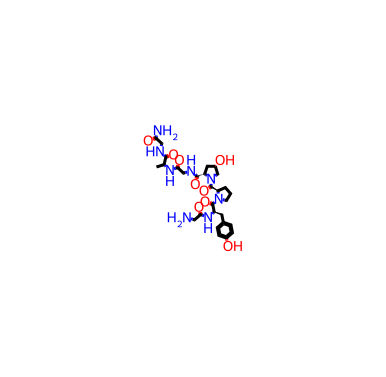 CC(NC(=O)CNC(=O)[C@@H]1CC(O)CN1C(=O)[C@H]1CCCN1C(=O)[C@@H](Cc1ccc(O)cc1)NC(=O)CN)C(=O)NCC(N)=O